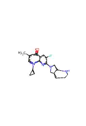 O=C(O)c1cn(C2CC2)c2nc(N3CC4=CCCNC4C3)c(F)cc2c1=O